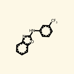 FC(F)(F)c1cccc(Nc2nc3ccccc3o2)c1